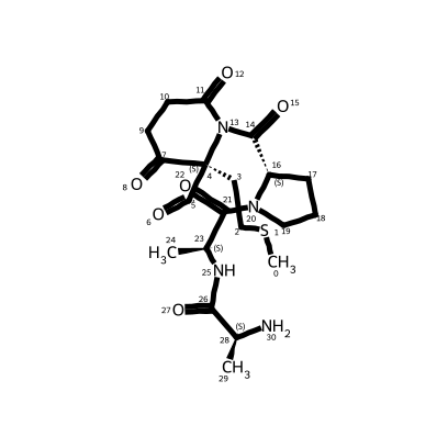 CSCC[C@]1([C]=O)C(=O)CCC(=O)N1C(=O)[C@@H]1CCCN1C(=O)[C@H](C)NC(=O)[C@H](C)N